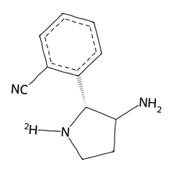 [2H]N1CCC(N)[C@H]1c1ccccc1C#N